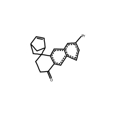 CC(C)c1ccc2cc3c(cc2c1)C1(CCC3=O)CC2C=CC1C2